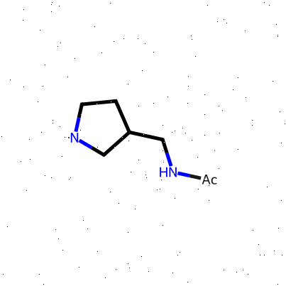 CC(=O)NCC1CC[N]C1